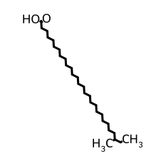 CCC(C)CCCCCCCCCCCCCCCCCCCCCCCCC(=O)O